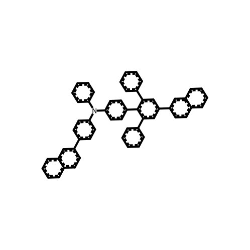 c1ccc(-c2cc(-c3ccc4ccccc4c3)cc(-c3ccccc3)c2-c2ccc(N(c3ccccc3)c3ccc(-c4ccc5ccccc5c4)cc3)cc2)cc1